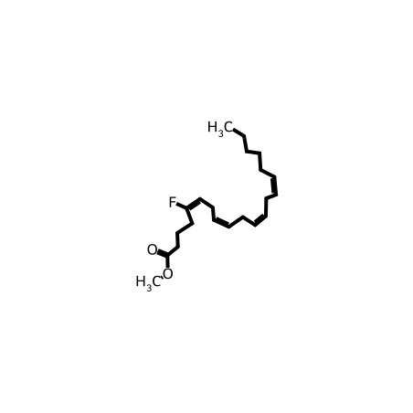 CCCCC/C=C\C/C=C\C/C=C\C/C=C(/F)CCCC(=O)OC